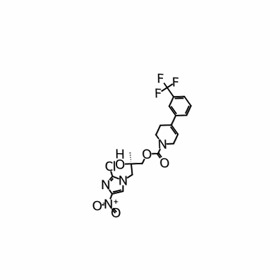 C[C@](O)(COC(=O)N1CC=C(c2cccc(C(F)(F)F)c2)CC1)Cn1cc([N+](=O)[O-])nc1Cl